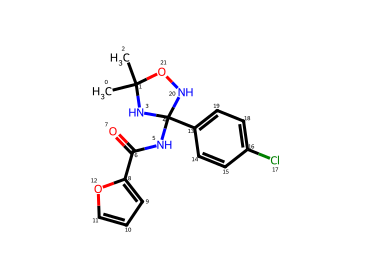 CC1(C)NC(NC(=O)c2ccco2)(c2ccc(Cl)cc2)NO1